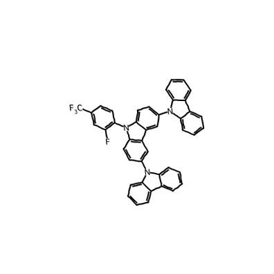 Fc1cc(C(F)(F)F)ccc1-n1c2ccc(-n3c4ccccc4c4ccccc43)cc2c2cc(-n3c4ccccc4c4ccccc43)ccc21